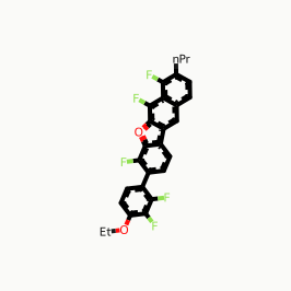 CCCc1ccc2cc3c(oc4c(F)c(-c5ccc(OCC)c(F)c5F)ccc43)c(F)c2c1F